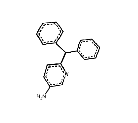 Nc1ccc(C(c2ccccc2)c2ccccc2)nc1